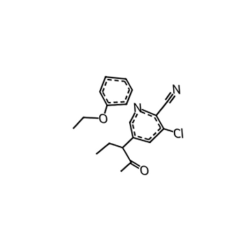 CCC(C(C)=O)c1cnc(C#N)c(Cl)c1.CCOc1ccccc1